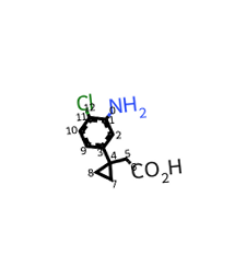 Nc1cc(C2(CC(=O)O)CC2)ccc1Cl